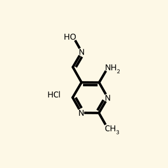 Cc1ncc(C=NO)c(N)n1.Cl